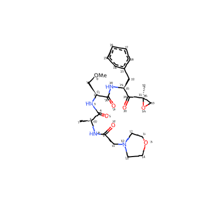 COC[C@H](NC(=O)[C@H](C)NC(=O)CN1CCOCC1)C(=O)N[C@@H](Cc1ccccc1)C(=O)[C@@]1(C)CO1